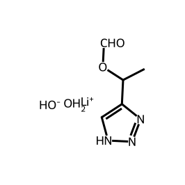 CC(OC=O)c1c[nH]nn1.O.[Li+].[OH-]